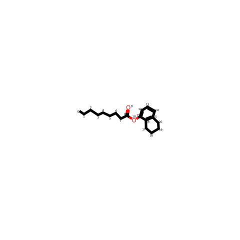 CCCCCCCCC(=O)Oc1cc[c]c2c1CCCC2